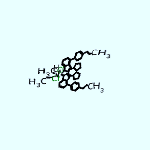 CCCc1ccc(-c2cccc3c2C=C(CC2CCCC2)[CH]3[Zr]([Cl])([Cl])([CH]2C(CC3CCCC3)=Cc3c(-c4ccc(CCC)cc4)cccc32)[SiH](C)CCC)cc1